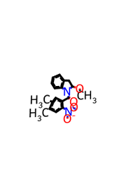 COC1Cc2ccccc2N1C(=O)c1cc(C)c(C)cc1[N+](=O)[O-]